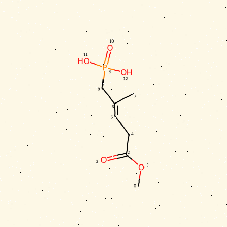 COC(=O)C/C=C(\C)CP(=O)(O)O